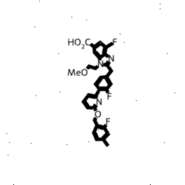 COCCn1c(Cc2ccc(-c3cccc(OCc4ccc(C)cc4F)n3)c(F)c2)nc2c(F)cc(C(=O)O)cc21